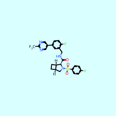 O=C(NCc1cc(-c2cnc(C(F)(F)F)nc2)ccc1F)[C@@H]1[C@H]2CC[C@H]2CN1S(=O)(=O)c1ccc(F)cc1